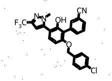 Cn1nc(C(F)(F)F)cc1-c1ccc(OCc2ccc(Cl)cc2)c(-c2cccc(C#N)c2)c1O